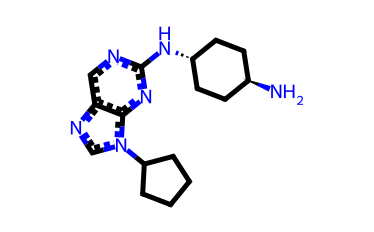 N[C@H]1CC[C@H](Nc2ncc3ncn(C4CCCC4)c3n2)CC1